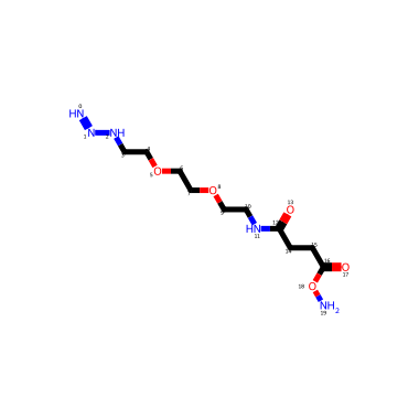 N=NNCCOCCOCCNC(=O)CCC(=O)ON